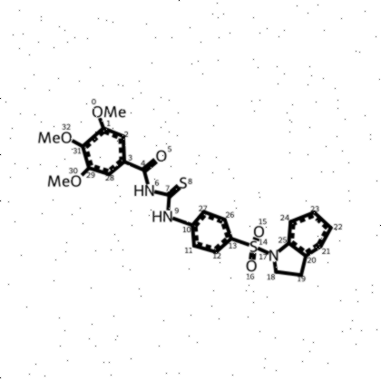 COc1cc(C(=O)NC(=S)Nc2ccc(S(=O)(=O)N3CCc4ccccc43)cc2)cc(OC)c1OC